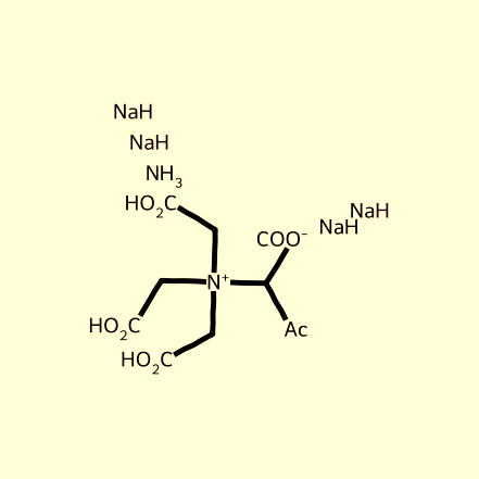 CC(=O)C(C(=O)[O-])[N+](CC(=O)O)(CC(=O)O)CC(=O)O.N.[NaH].[NaH].[NaH].[NaH]